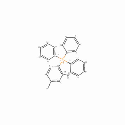 Cc1ccc([PH](c2ccccc2)(c2ccccc2)c2ccccc2)c(C(C)C)c1